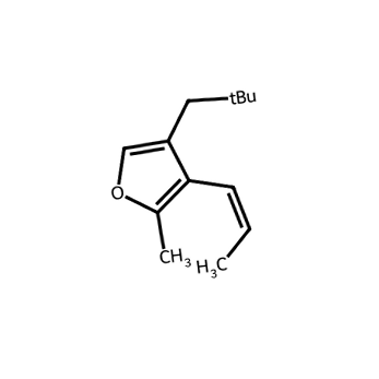 C/C=C\c1c(CC(C)(C)C)coc1C